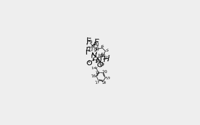 O=C1N2C[C@@H](CC[C@H]2C(F)(F)F)N1OCc1ccccc1